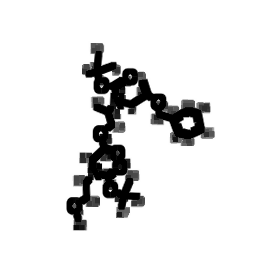 C=C(CN(C(=O)OC(C)(C)C)C(C)COC(=O)CN(CCOC)C(=O)OC(C)(C)C)OCc1ccccc1